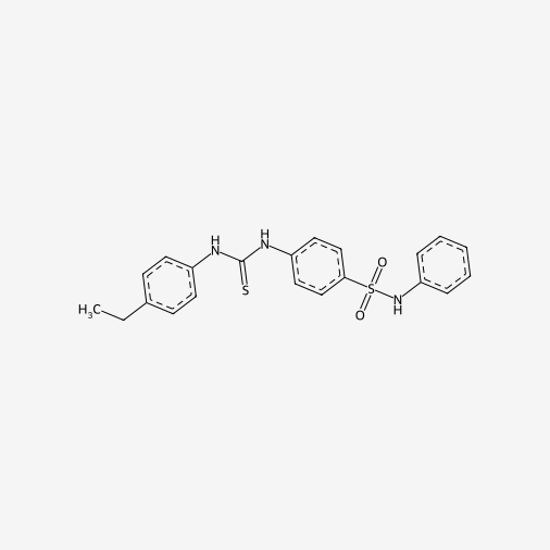 CCc1ccc(NC(=S)Nc2ccc(S(=O)(=O)Nc3ccccc3)cc2)cc1